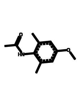 COc1cc(C)c(NC(C)=O)c(C)c1